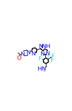 CNCc1cc(F)c(-c2ncc3[nH]nc(-c4ccc(N5CCN(C(C)=O)CC5)nc4)c3n2)c(C(F)(F)F)c1